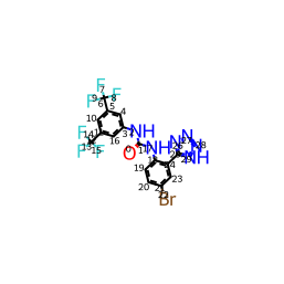 O=C(Nc1cc(C(F)(F)F)cc(C(F)(F)F)c1)Nc1ccc(Br)cc1-c1nnn[nH]1